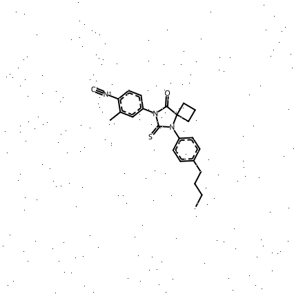 [C-]#[N+]c1ccc(N2C(=O)C3(CCC3)N(c3ccc(CCCC)cc3)C2=S)cc1C